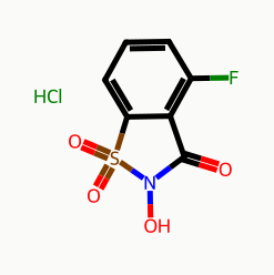 Cl.O=C1c2c(F)cccc2S(=O)(=O)N1O